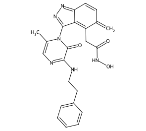 C=c1ccc2c(c1CC(=O)NO)C(n1c(C)cnc(NCCc3ccccc3)c1=O)=NN=2